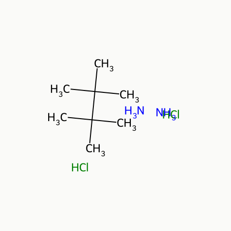 CC(C)(C)C(C)(C)C.Cl.Cl.N.N